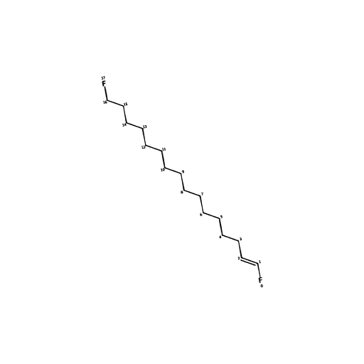 FC=CCCCCCCCCCCCCCCF